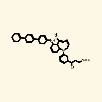 CCC(CCNC)C1C=CC=C(N2C/C=C\C=C(/C)C3C(NC4=CC=C(C5=CCC(C6=CCCCC6)C=C5)CC4)C=CCC32)C1